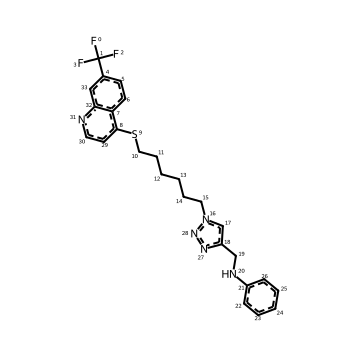 FC(F)(F)c1ccc2c(SCCCCCCn3cc(CNc4ccccc4)nn3)ccnc2c1